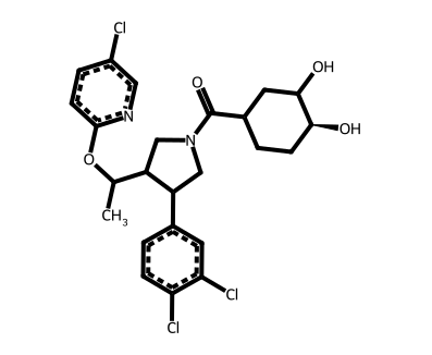 CC(Oc1ccc(Cl)cn1)C1CN(C(=O)C2CC[C@H](O)C(O)C2)CC1c1ccc(Cl)c(Cl)c1